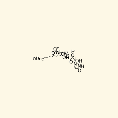 CCCCCCCCCCCCCCCC[C@H](COP(=O)(O)OC[C@H]1O[C@@H](n2ccc(=O)[nH]c2=S)[C@](C)(O)C1O)NC(=O)C(F)(F)F